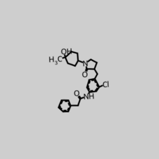 CC1(O)CCC(N2CCC(Cc3ccc(NC(=O)Cc4ccccc4)cc3Cl)C2=O)CC1